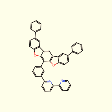 c1ccc(-c2ccc3oc4c(-c5cccc(-c6cccc(-c7ccccn7)n6)c5)c5oc6ccc(-c7ccccc7)cc6c5cc4c3c2)cc1